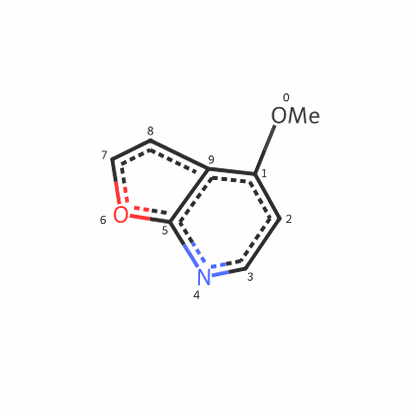 COc1ccnc2occc12